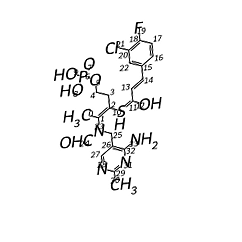 C/C(=C(CCOP(=O)(O)O)/[SH]=C(O)\C=C\c1ccc(F)c(Cl)c1)N(C=O)Cc1cnc(C)nc1N